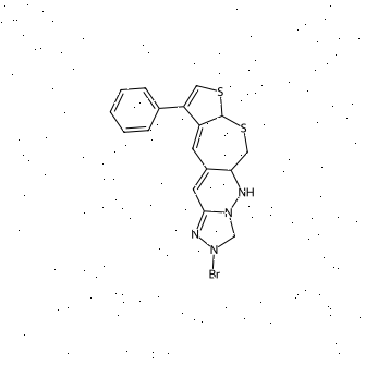 BrN1CN2NC3CSC4SC=C(c5ccccc5)C4=CC3=CC2=N1